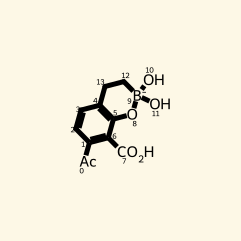 CC(=O)c1ccc2c(c1C(=O)O)O[B-](O)(O)CC2